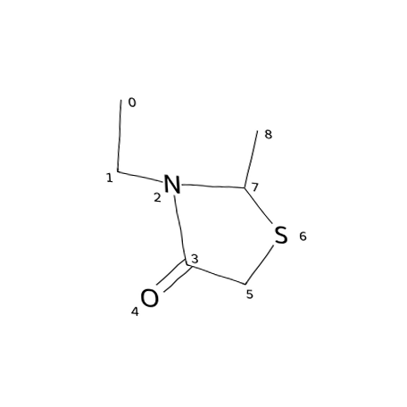 CCN1C(=O)CSC1C